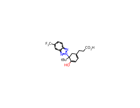 CC(C)(C)C1(n2nc3ccc(C(F)(F)F)cc3n2)CC(CCC(=O)O)=CC=C1O